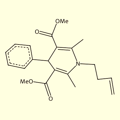 C=CCCN1C(C)=C(C(=O)OC)C(c2ccccc2)C(C(=O)OC)=C1C